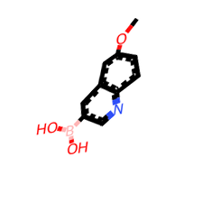 COc1ccc2ncc(B(O)O)cc2c1